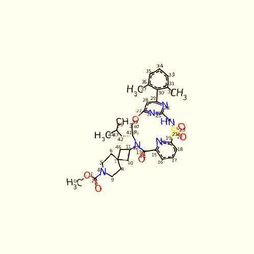 COC(=O)N1CCC2(CC1)CC(N1C(=O)c3cccc(n3)S(=O)(=O)Nc3nc(cc(-c4c(C)cccc4C)n3)OC[C@H]1CC(C)C)C2